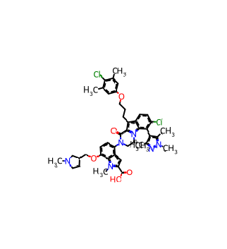 Cc1cc(OCCCc2c3n(c4c(-c5c(C)nn(C)c5C)c(Cl)ccc24)[C@H](C)CN(c2ccc(OCC4CCN(C)C4)c4c2cc(C(=O)O)n4C)C3=O)cc(C)c1Cl